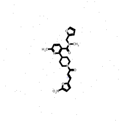 Cc1ccc(C(=O)N(C)Cc2ccco2)c(C2CCN(C(=O)/C=C/c3ccc([N+](=O)[O-])o3)CC2)n1